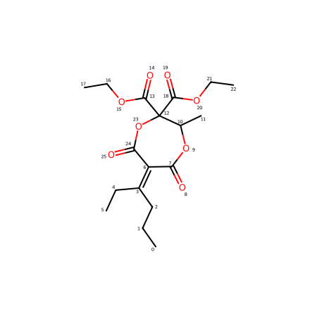 CCCC(CC)=C1C(=O)OC(C)C(C(=O)OCC)(C(=O)OCC)OC1=O